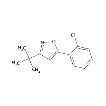 CC(C)(C)c1cc(-c2ccccc2Cl)on1